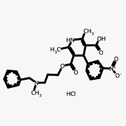 CC1=C(C(=O)O)C(c2cccc([N+](=O)[O-])c2)C(C(=O)OCCCN(C)Cc2ccccc2)=C(C)N1.Cl